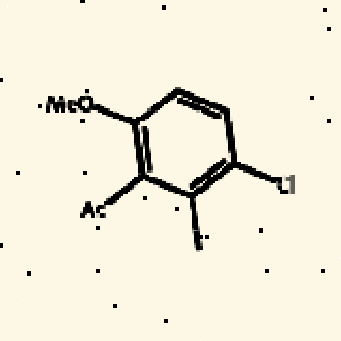 COc1ccc(Cl)c(C)c1C(C)=O